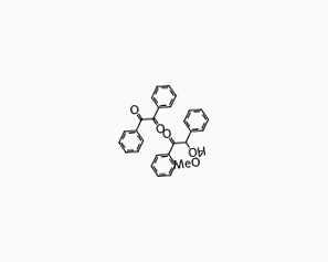 COC.O=C(C(=O)c1ccccc1)c1ccccc1.O=C(c1ccccc1)C(O)c1ccccc1